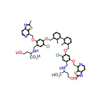 Cc1nc2ccnc(COc3cc(OCc4cccc(-c5cccc(COc6cc(OCc7nccc8nc(C)sc78)c(CNC(CCO)C(=O)O)cc6Cl)c5C)c4C)c(Cl)cc3CNC(CCO)C(=O)O)c2s1